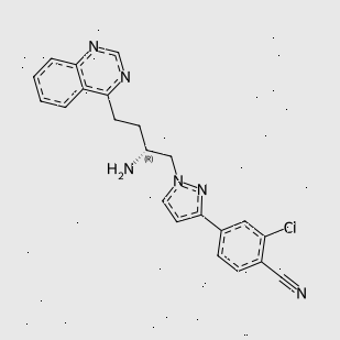 N#Cc1ccc(-c2ccn(C[C@H](N)CCc3ncnc4ccccc34)n2)cc1Cl